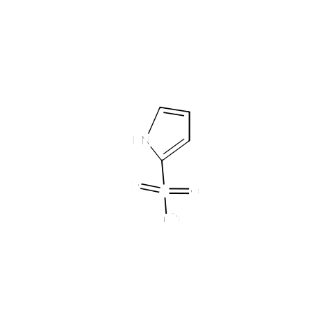 CCCS(=O)(=O)c1ccc[nH]1